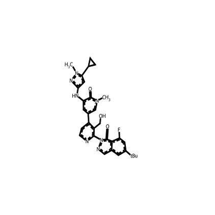 Cn1nc(Nc2cc(-c3ccnc(-n4ncc5cc(C(C)(C)C)cc(F)c5c4=O)c3CO)cn(C)c2=O)cc1C1CC1